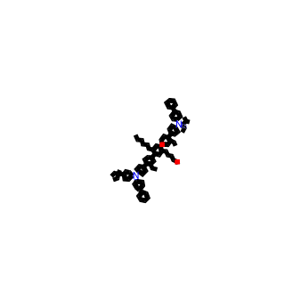 C/C=C(/C(C)C)N(c1ccc(-c2ccccc2)cc1)c1ccc(-c2ccc(-c3cc(CCCCCC)c(-c4ccc(-c5ccc(N(c6ccc(-c7ccccc7)cc6)c6ccc(C(C)(CC)CC)cc6)cc5)c(CC)c4)cc3CCCCCC)cc2CC)cc1